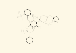 Cc1c(N2CCN(Cc3ccnn3C)CC2)c(=O)n(C[C@@H](N)c2ccccc2)c(=O)n1Cc1c(F)cccc1C(F)(F)F